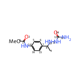 COC(=O)Nc1ccc(C(C)NNC(N)=O)cc1